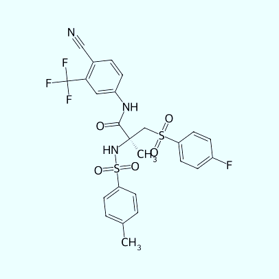 Cc1ccc(S(=O)(=O)N[C@](C)(CS(=O)(=O)c2ccc(F)cc2)C(=O)Nc2ccc(C#N)c(C(F)(F)F)c2)cc1